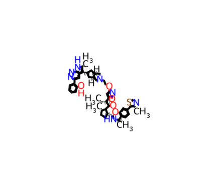 Cc1ncsc1-c1ccc([C@H](C)NC(=O)[C@@H]2CCCC2C(=O)[C@@H](c2cc(OCCN3C[C@H]4C[C@@H](c5c(C)[nH]c6nnc(-c7ccccc7O)cc56)C[C@H]4C3)no2)C(C)C)cc1